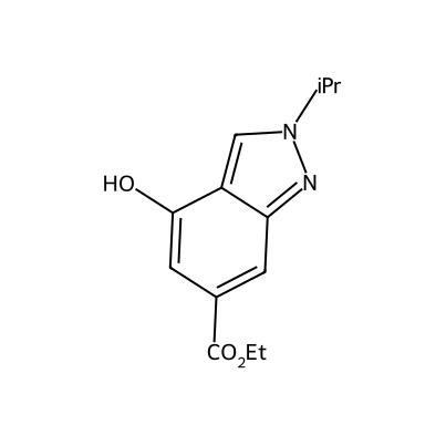 CCOC(=O)c1cc(O)c2cn(C(C)C)nc2c1